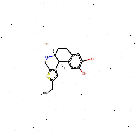 Br.CC(C)(C)Cc1cc2c(s1)CN[C@@H]1CCc3cc(O)c(O)cc3[C@@H]21